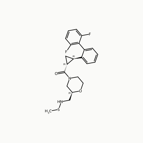 CSNC[C@H]1CN(C(=O)[C@@H]2C[C@H]2c2ccccc2-c2c(F)cccc2F)CCO1